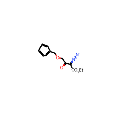 CCOC(=O)C(=[N+]=[N-])C(=O)COCc1ccccc1